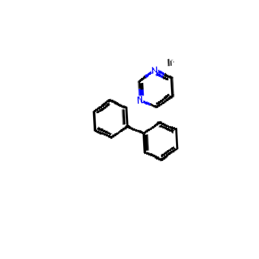 [Ir].c1ccc(-c2ccccc2)cc1.c1cncnc1